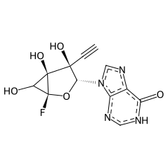 C#C[C@]1(O)[C@H](n2cnc3c(=O)[nH]cnc32)O[C@]2(F)C(O)[C@@]21O